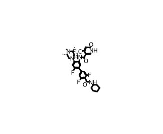 C[C@@H]1CN(c2cc(F)c(-c3cc(F)c(C(=O)NC4CCCCC4)c(F)c3)cc2NC(=O)c2c[nH]c(=O)cc2C(F)(F)F)C[C@H](C)N1C